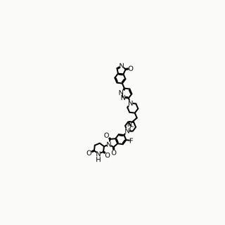 O=C1CCC(N2C(=O)c3cc(F)c(N4CC5CCC4CN5CC4CCN(c5ccc(-c6ccc7c(c6)C(=O)N=C7)nn5)CC4)cc3C2=O)C(=O)N1